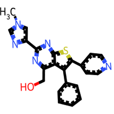 Cn1cnc(-c2nc(CO)c3c(-c4ccccc4)c(-c4ccncc4)sc3n2)c1